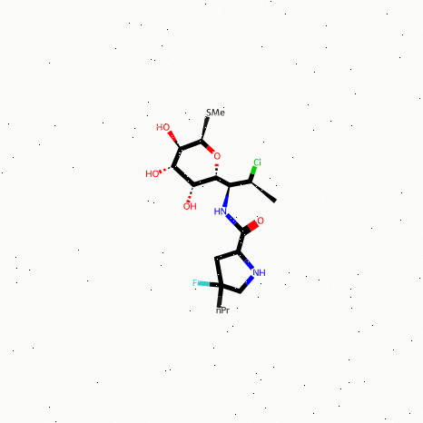 CCCC1(F)CNC(C(=O)N[C@@H]([C@H]2O[C@H](SC)[C@H](O)[C@@H](O)[C@H]2O)[C@H](C)Cl)C1